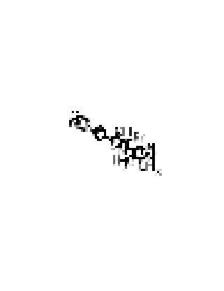 Cc1c(-c2[nH]c3sc(C4CC5CC4CC5N4CCS(=O)(=O)CC4)c(C)c3c2C(C)C)cn2ncnc2c1C